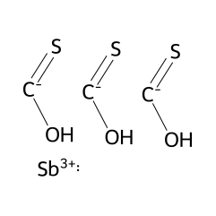 O[C-]=S.O[C-]=S.O[C-]=S.[Sb+3]